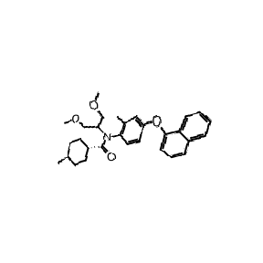 COCC(COC)N(c1ccc(Oc2cccc3ccccc23)cc1C)C(=O)[C@H]1CC[C@H](C)CC1